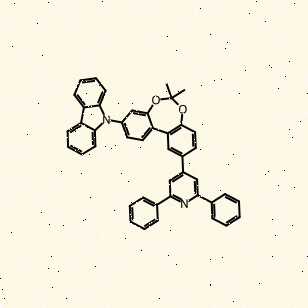 CC1(C)Oc2cc(-n3c4ccccc4c4ccccc43)ccc2-c2cc(-c3cc(-c4ccccc4)nc(-c4ccccc4)c3)ccc2O1